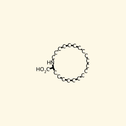 O=C(O)C1CCCCCCCCCCCCCCCCCCCN1